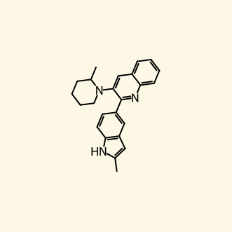 Cc1cc2cc(-c3nc4ccccc4cc3N3CCCCC3C)ccc2[nH]1